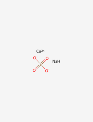 O=S(=O)([O-])[O-].[Cu+2].[NaH]